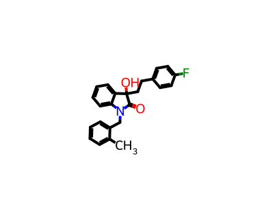 Cc1ccccc1CN1C(=O)C(O)(CCc2ccc(F)cc2)c2ccccc21